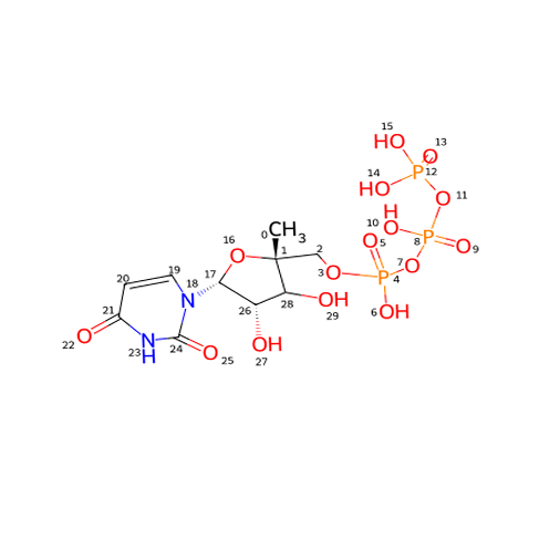 C[C@]1(COP(=O)(O)OP(=O)(O)OP(=O)(O)O)O[C@@H](n2ccc(=O)[nH]c2=O)[C@@H](O)C1O